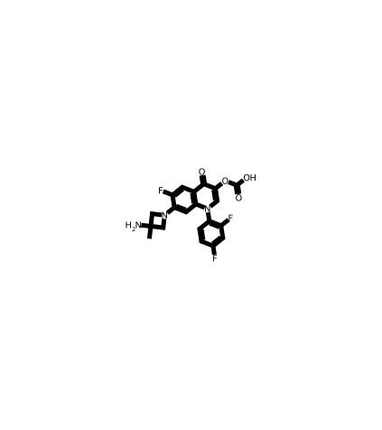 CC1(N)CN(c2cc3c(cc2F)c(=O)c(OC(=O)O)cn3-c2ccc(F)cc2F)C1